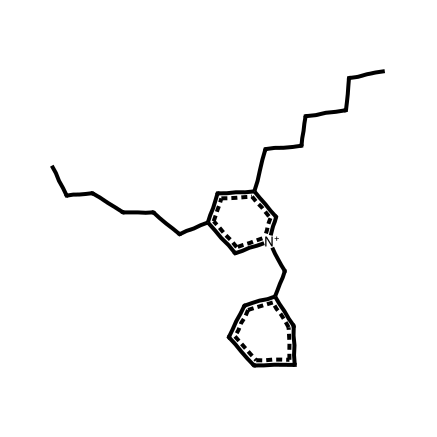 CCCCCCc1cc(CCCCCC)c[n+](Cc2ccccc2)c1